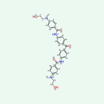 CN(CCO)c1ccc(C(=O)Nc2ccc(C(=O)c3ccc(NC(=O)c4ccc(N(C)CCO)cc4)cc3)cc2)cc1